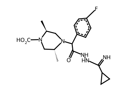 C[C@@H]1CN(C(=O)O)[C@@H](C)CN1C(C(=O)NNC(=N)C1CC1)c1ccc(F)cc1